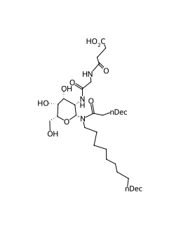 CCCCCCCCCCCCCCCCCCN(C(=O)CCCCCCCCCCC)[C@@H]1O[C@H](CO)[C@H](O)[C@H](O)[C@@H]1NC(=O)CNC(=O)CCC(=O)O